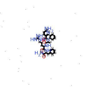 CC(C(=O)NC(CCCNC(=N)N)C(=O)NC(Cc1ccccc1)C(N)=O)N(C(=O)c1ccc(N)nc1)C1CCCCC1